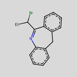 CCC(Br)C1=Nc2ccccc2Cc2ccccc21